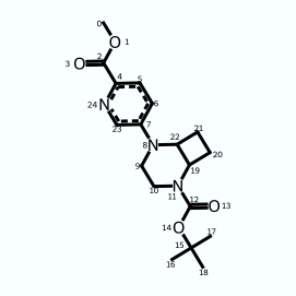 COC(=O)c1ccc(N2CCN(C(=O)OC(C)(C)C)C3CCC32)cn1